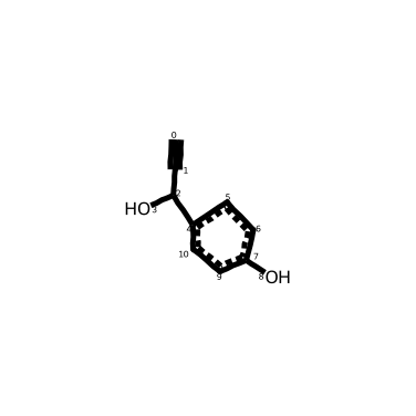 C#CC(O)c1ccc(O)cc1